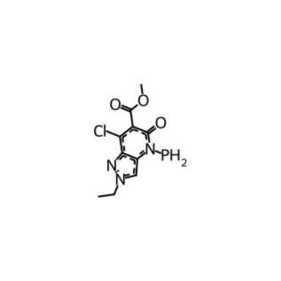 CCn1cc2c(n1)c(Cl)c(C(=O)OC)c(=O)n2P